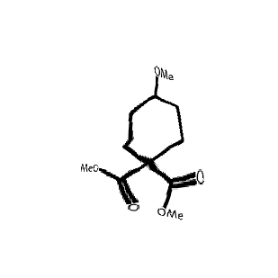 COC(=O)C1(C(=O)OC)CCC(OC)CC1